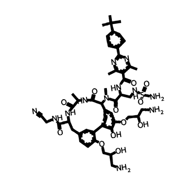 Cc1nc(-c2ccc(C(C)(C)C)cc2)nc(C)c1C(=O)NC(CNS(N)(=O)=O)C(=O)N(C)C1C(=O)NC(C)C(=O)NC(C(=O)NCC#N)Cc2ccc(OCC(O)CN)c(c2)-c2cc1cc(OCC(O)CN)c2O